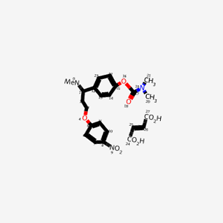 CNC(CCOc1ccc([N+](=O)[O-])cc1)c1ccc(OC(=O)N(C)C)cc1.O=C(O)C=CC(=O)O